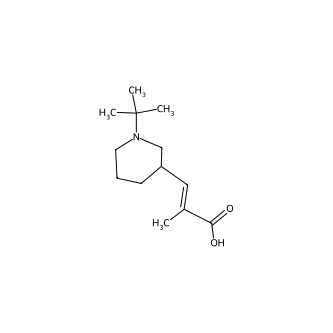 C/C(=C\C1CCCN(C(C)(C)C)C1)C(=O)O